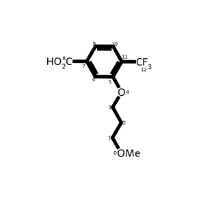 COCCCOc1cc(C(=O)O)ccc1C(F)(F)F